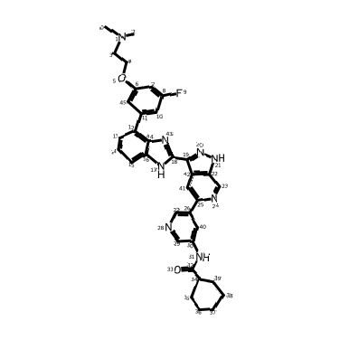 CN(C)CCOc1cc(F)cc(-c2cccc3[nH]c(-c4n[nH]c5cnc(-c6cncc(NC(=O)C7CCCCC7)c6)cc45)nc23)c1